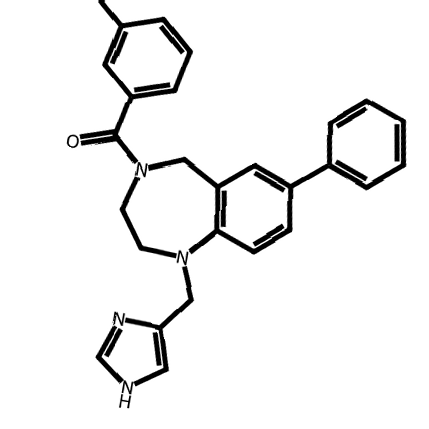 N#Cc1cccc(C(=O)N2CCN(Cc3c[nH]cn3)c3ccc(-c4ccccc4)cc3C2)c1